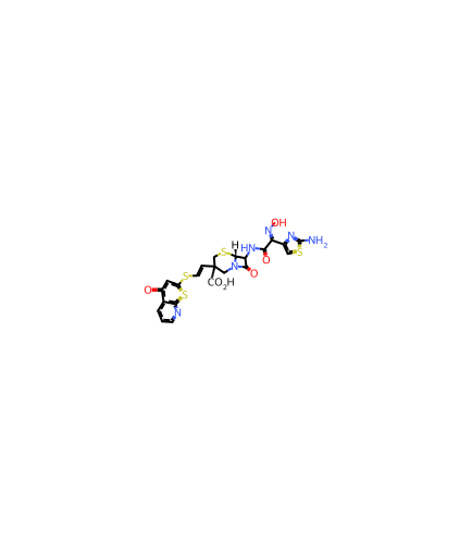 Nc1nc(C(=NO)C(=O)NC2C(=O)N3CC(C=CSc4cc(=O)c5cccnc5s4)(C(=O)O)CS[C@H]23)cs1